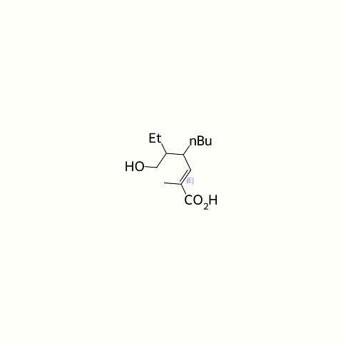 CCCCC(/C=C(\C)C(=O)O)C(CC)CO